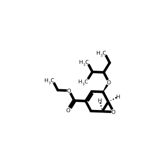 CCOC(=O)C1=C[C@@H](OC(CC)C(C)C)[C@H]2O[C@H]2C1